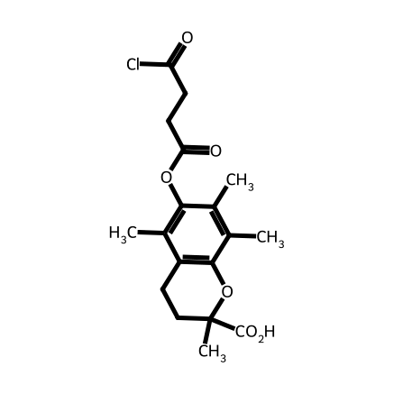 Cc1c(C)c2c(c(C)c1OC(=O)CCC(=O)Cl)CCC(C)(C(=O)O)O2